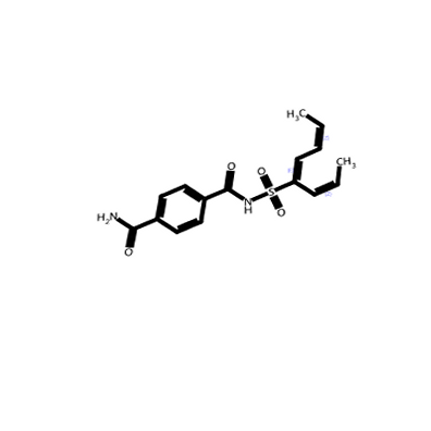 C\C=C/C=C(\C=C/C)S(=O)(=O)NC(=O)c1ccc(C(N)=O)cc1